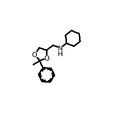 CC1(c2ccccc2)OCC(CNC2CCCCC2)O1